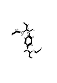 CCOC(CC)N(C)c1ccc(N(C)C(CC)OCC)cc1